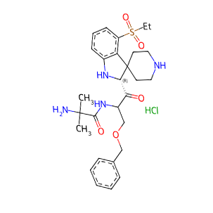 CCS(=O)(=O)c1cccc2c1C1(CCNCC1)[C@H](C(=O)C(COCc1ccccc1)NC(=O)C(C)(C)N)N2.Cl